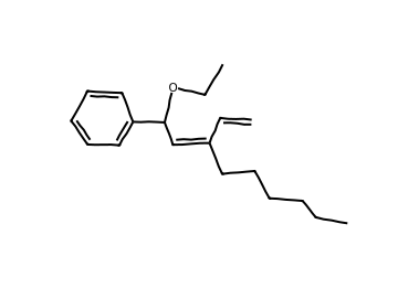 C=CC(=CC(OCC)c1ccccc1)CCCCCC